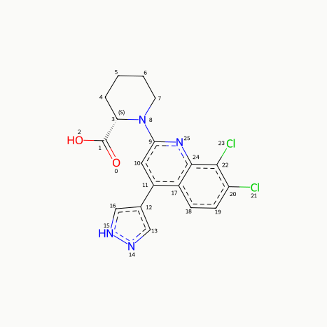 O=C(O)[C@@H]1CCCCN1c1cc(-c2cn[nH]c2)c2ccc(Cl)c(Cl)c2n1